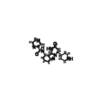 O=C(Nc1cccc2nn3c(C4CCNCC4)cc(=O)[nH]c3c12)c1cnccn1